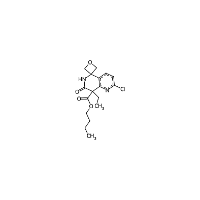 CCCCOC(=O)C1(CC)C(=O)NC2(COC2)c2ccc(Cl)nc21